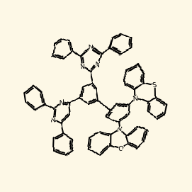 c1ccc(-c2cc(-c3cc(-c4cc(N5c6ccccc6Oc6ccccc65)cc(N5c6ccccc6Sc6ccccc65)c4)cc(-c4nc(-c5ccccc5)nc(-c5ccccc5)n4)c3)nc(-c3ccccc3)n2)cc1